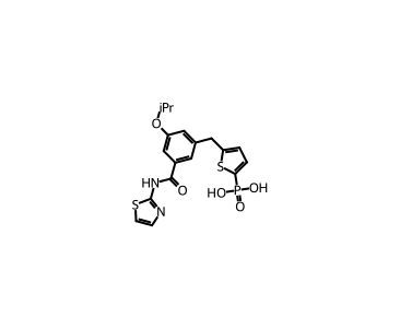 CC(C)Oc1cc(Cc2ccc(P(=O)(O)O)s2)cc(C(=O)Nc2nccs2)c1